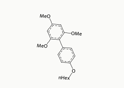 CCCCCCOc1ccc(-c2c(OC)cc(OC)cc2OC)cc1